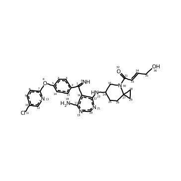 N=C(c1ccc(Oc2ccc(Cl)cn2)cc1)c1c(N)ncnc1NC1CCC2(CC2)N(C(=O)/C=C/CO)C1